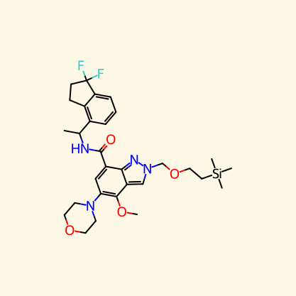 COc1c(N2CCOCC2)cc(C(=O)NC(C)c2cccc3c2CCC3(F)F)c2nn(COCC[Si](C)(C)C)cc12